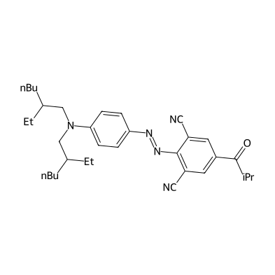 CCCCC(CC)CN(CC(CC)CCCC)c1ccc(N=Nc2c(C#N)cc(C(=O)C(C)C)cc2C#N)cc1